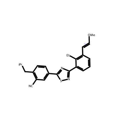 CCc1c(/C=C/OC)cccc1-c1nsc(-c2ccc(CC(C)C)c(C#N)c2)n1